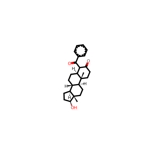 C[C@]12CCC(=O)C(C(=O)c3ccccc3)[C@@H]1CC[C@@H]1[C@@H]2CC[C@]2(C)[C@@H](O)CC[C@@H]12